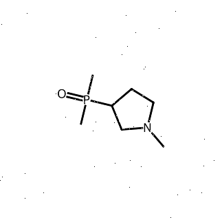 CN1CCC(P(C)(C)=O)C1